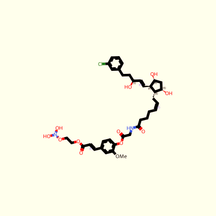 COc1cc(/C=C/C(=O)OCCON(O)O)ccc1OC(=O)CNC(=O)CCC/C=C\C[C@@H]1[C@@H](/C=C/[C@@H](O)CCc2cccc(Cl)c2)[C@H](O)C[C@@H]1O